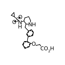 O=C(O)CCOc1ccccc1-c1cccc(CC2NCCCC2NS(=O)(=O)C2CC2)c1